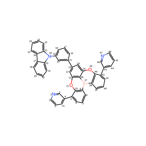 c1cncc(-c2cccc3c2Oc2cc(-c4cccc(-n5c6ccccc6c6ccccc65)c4)cc4c2B3c2cccc(-c3cccnc3)c2O4)c1